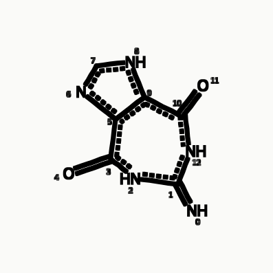 N=c1[nH]c(=O)c2nc[nH]c2c(=O)[nH]1